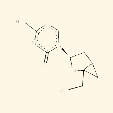 Nc1ncn([C@H]2CC3CC3(CO)S2)c(=O)n1